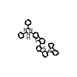 C1=CC2c3cccc(-c4cccc5c4sc4cc(C6N=C(c7ccccc7)N=C(c7ccccc7)N6)ccc45)c3SC2C(n2c3ccccc3c3ccccc32)=C1